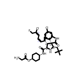 C=C(/C=C\C=C(\Cl)CF)[C@H]1[C@H](C(=O)N[C@H]2CC[C@H](OC(=O)CN)CC2)N[C@H](CC(C)(C)C)[C@]12C(=O)Nc1cc(Cl)ccc12